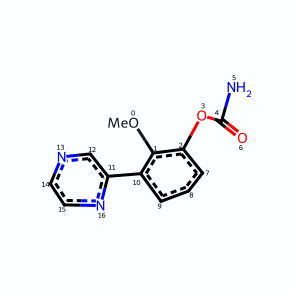 COc1c(OC(N)=O)cccc1-c1cnccn1